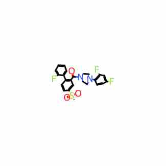 CS(=O)(=O)c1ccc(-c2ccccc2F)c(C(=O)N2CCN(c3ccc(F)cc3F)CC2)c1